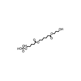 O=C(CCCCCOC(=O)CCCCOP(=O)(O)O)OCCCO